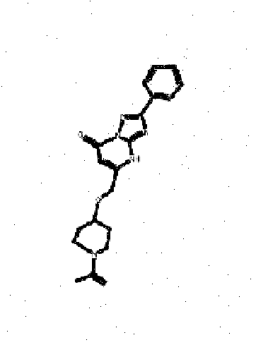 C=C(C)N1CCC(OCc2cc(=O)n3nc(-c4ccccc4)nc3[nH]2)CC1